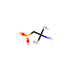 CC(C)(N)CP(=O)=O